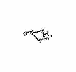 CC(C)CCC(CCCOC(=O)CCCCCCCC(CCCCCCCC(=O)OCCCC(CCC(C)C)C(C)C)OC(=O)CCCN1CCCCC1)C(C)C